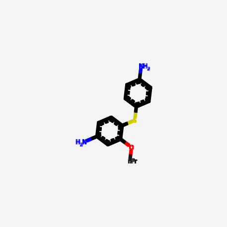 CCCOc1cc(N)ccc1Sc1ccc(N)cc1